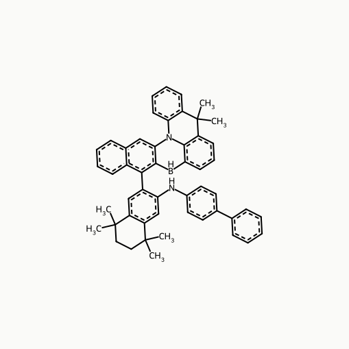 CC1(C)CCC(C)(C)c2cc(-c3c4c(cc5ccccc35)N3c5ccccc5C(C)(C)c5cccc(c53)B4)c(Nc3ccc(-c4ccccc4)cc3)cc21